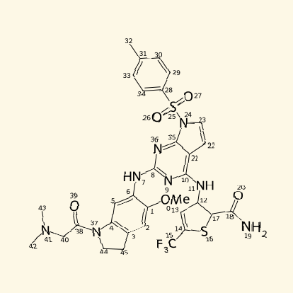 COc1cc2c(cc1Nc1nc(NC3C=C(C(F)(F)F)SC3C(N)=O)c3ccn(S(=O)(=O)c4ccc(C)cc4)c3n1)N(C(=O)CN(C)C)CC2